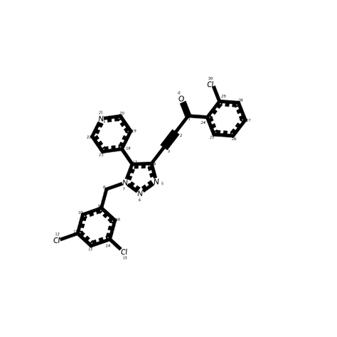 O=C(C#Cc1nnn(Cc2cc(Cl)cc(Cl)c2)c1-c1ccncc1)c1ccccc1Cl